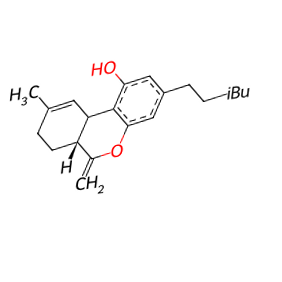 C=C1Oc2cc(CCC(C)CC)cc(O)c2C2C=C(C)CC[C@@H]12